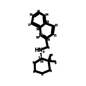 CC1(C)CCCC[C@@H]1NCc1ccc2ccccc2n1